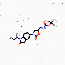 CCC(C)N1C(=O)Cc2cc(N3CC(CNC(=O)OC(C)(C)C)OC3=O)ccc21